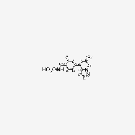 Cc1cc(-c2cc(Br)cn3nccc23)ccc1CNC(=O)O